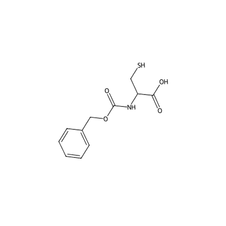 O=C(NC(CS)C(=O)O)OCc1ccccc1